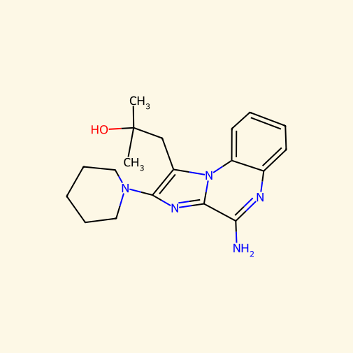 CC(C)(O)Cc1c(N2CCCCC2)nc2c(N)nc3ccccc3n12